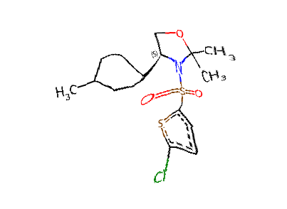 CC1CCC([C@H]2COC(C)(C)N2S(=O)(=O)c2ccc(Cl)s2)CC1